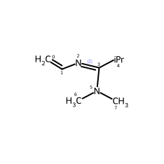 C=C/N=C(/C(C)C)N(C)C